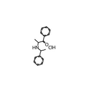 CC(NC(C)c1ccccc1)C(=O)c1ccccc1.Cl